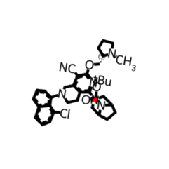 CN1CCC[C@H]1COc1nc(N2CC3CCC(C2)N3C(=O)OC(C)(C)C)c2c(c1C#N)CN(c1cccc3cccc(Cl)c13)CC2